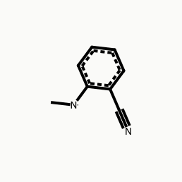 C[N]c1ccccc1C#N